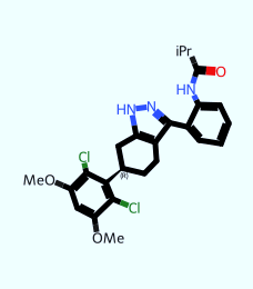 COc1cc(OC)c(Cl)c([C@@H]2CCc3c(-c4ccccc4NC(=O)C(C)C)n[nH]c3C2)c1Cl